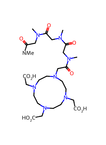 CNC(=O)CN(C)C(=O)CN(C)C(=O)CN(C)C(=O)CN1CCN(CC(=O)O)CCN(CC(=O)O)CCN(CC(=O)O)CC1